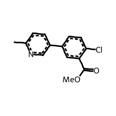 COC(=O)c1cc(-c2ccc(C)nc2)ccc1Cl